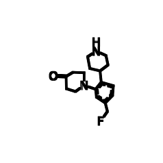 O=C1CCN(c2cc(CF)ccc2C2CCNCC2)CC1